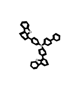 C1=CCCC(C2=CC=C(N(c3ccc(-c4cccc5c6c(oc45)CCC=C6)cc3)c3ccc(-c4cccc5c4oc4ccccc45)cc3)CC2)=C1